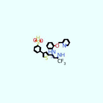 N=C(/C=C(\Nc1ccccc1OCc1ccccn1)c1cc(-c2cccc([SH](=O)=O)c2)cs1)C(F)(F)F